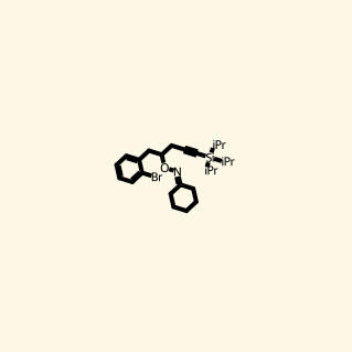 CC(C)[Si](C#CCC(Cc1ccccc1Br)ON=C1CCCCC1)(C(C)C)C(C)C